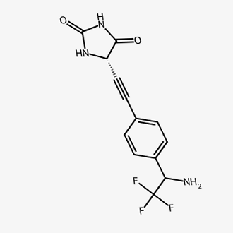 NC(c1ccc(C#C[C@@H]2NC(=O)NC2=O)cc1)C(F)(F)F